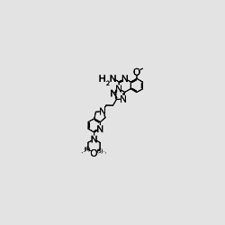 COc1cccc2c1nc(N)n1nc(CCN3Cc4ccc(N5C[C@@H](C)O[C@@H](C)C5)nc4C3)nc21